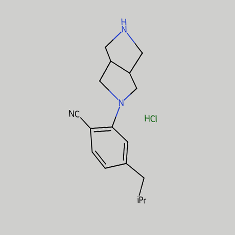 CC(C)Cc1ccc(C#N)c(N2CC3CNCC3C2)c1.Cl